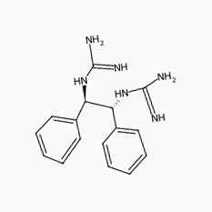 N=C(N)N[C@H](c1ccccc1)[C@H](NC(=N)N)c1ccccc1